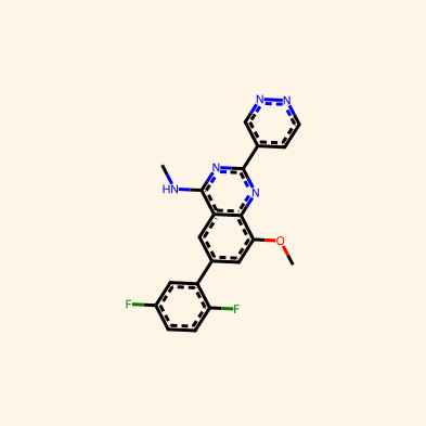 CNc1nc(-c2ccnnc2)nc2c(OC)cc(-c3cc(F)ccc3F)cc12